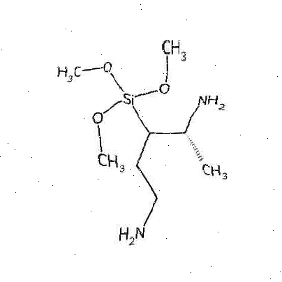 CO[Si](OC)(OC)C(CCN)[C@@H](C)N